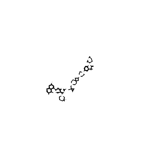 CCc1c(F)ccc2cc(O)cc(-c3ncc4c(N5CCC[C@@](C)(O)C5)nc(OCC5(CN6CCC7(CC6)CC(N6CCN(c8ccc9c(c8)C(C)(C)C(=O)N9C8CCC(=O)NC8=O)CC6)C7)CC5)nc4c3F)c12